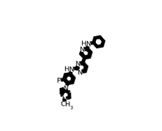 CN1CC2CC1CN2c1ccc(Nc2nccc(-c3ccc(NC4CCCCC4)nc3)n2)cc1F